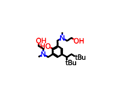 CN(CCO)Cc1cc(C(CC(C)(C)C)C(C)(C)C)cc(CN(C)CCO)c1O